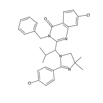 CC(C)C(c1nc2cc(Cl)ccc2c(=O)n1Cc1ccccc1)N1CC(C)(C)N=C1c1ccc(Cl)cc1